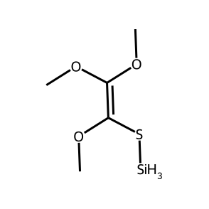 COC(OC)=C(OC)S[SiH3]